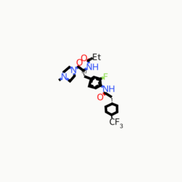 CCC(=O)N[C@H](Cc1ccc(NC(=O)C[C@H]2CC[C@H](C(F)(F)F)CC2)c(F)c1)C(=O)N1CCN(C)CC1